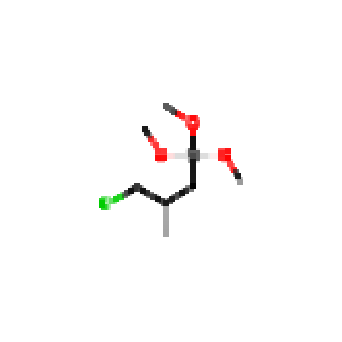 CO[Si](CC(C)CCl)(OC)OC